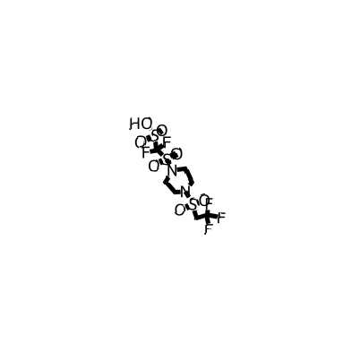 O=S(=O)(CC(F)(F)F)N1CCN(S(=O)(=O)C(F)(F)S(=O)(=O)O)CC1